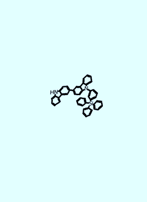 c1ccc([Si](c2ccccc2)(c2ccccc2)c2cccc(-n3c4ccccc4c4cc(-c5ccc6[nH]c7ccccc7c6c5)ccc43)c2)cc1